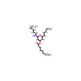 CCCCCCCCCCCCCCCC(=O)OC(CCCCCCCCCCCCCCC)CC(=O)NCCCCC(=O)O